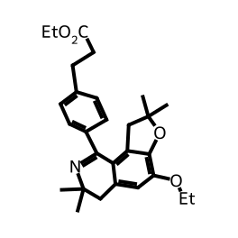 CCOC(=O)CCc1ccc(C2=NC(C)(C)Cc3cc(OCC)c4c(c32)CC(C)(C)O4)cc1